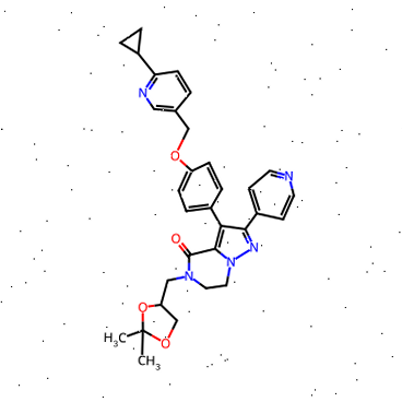 CC1(C)OCC(CN2CCn3nc(-c4ccncc4)c(-c4ccc(OCc5ccc(C6CC6)nc5)cc4)c3C2=O)O1